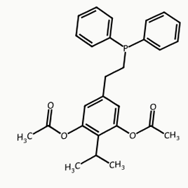 CC(=O)Oc1cc(CCP(c2ccccc2)c2ccccc2)cc(OC(C)=O)c1C(C)C